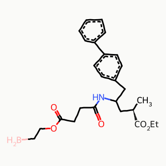 BCCOC(=O)CCC(=O)NC(Cc1ccc(-c2ccccc2)cc1)C[C@@H](C)C(=O)OCC